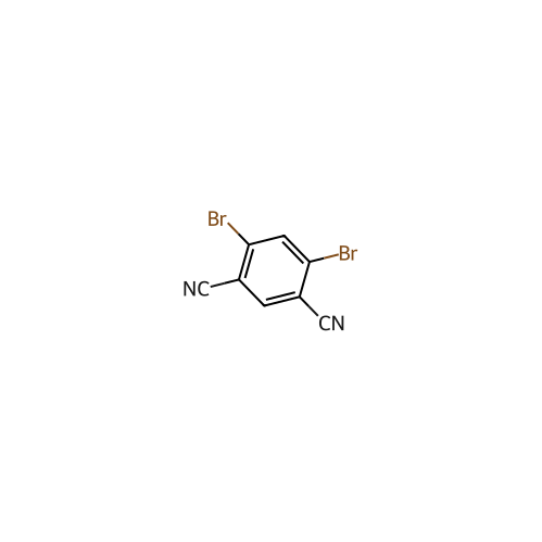 N#Cc1cc(C#N)c(Br)cc1Br